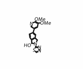 COc1cc(-c2ccc3c(c2)CN(c2nncs2)C3O)cnc1OC